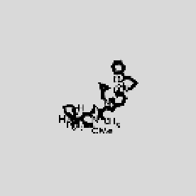 COc1cc(C(=O)N2[C@H]3CC[C@@H]2[C@H](N)C3)cc2nc(-c3cc4ccc(N5CCCC(c6ccccc6)S5(=O)=O)nc4n3CC3CC3)c(C)n12